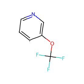 FC(F)(F)Oc1[c]ccnc1